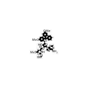 COc1ccc(C(OC[C@H]2O[C@@H](n3cnc4c(N)ncnc43)[C@H](OC(=O)[C@H](CCSC)NC(=O)OC(C)(C)C)[C@@H]2O)(c2ccccc2)c2ccc(OC)cc2)cc1